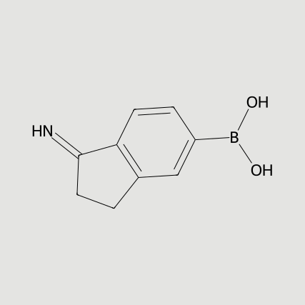 N=C1CCc2cc(B(O)O)ccc21